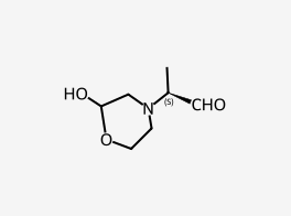 C[C@@H](C=O)N1CCOC(O)C1